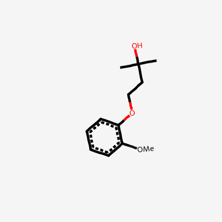 COc1ccccc1OCCC(C)(C)O